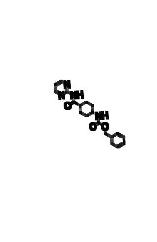 O=C(N[C@H]1CC[C@H](C(=O)Nc2ncccn2)CC1)OCc1ccccc1